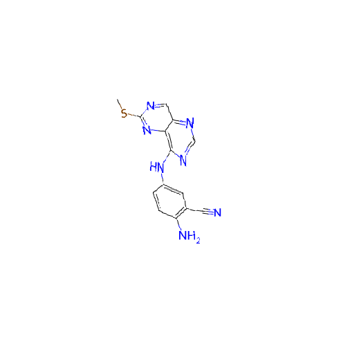 CSc1ncc2ncnc(Nc3ccc(N)c(C#N)c3)c2n1